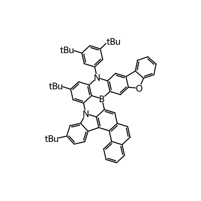 CC(C)(C)c1cc(N2c3cc4c(cc3B3c5c2cc(C(C)(C)C)cc5-n2c5cc(C(C)(C)C)ccc5c5c6c(ccc7ccccc76)cc3c52)oc2ccccc24)cc(C(C)(C)C)c1